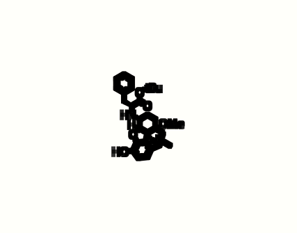 CO[C@@]12CC[C@H](N[C@@H](Cc3ccccc3)C(=O)OC(C)(C)C)[C@@H]3Oc4c(O)ccc5c4[C@@]31CCN(C)C2C5